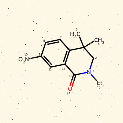 CCN1CC(C)(C)c2ccc([N+](=O)[O-])cc2C1=O